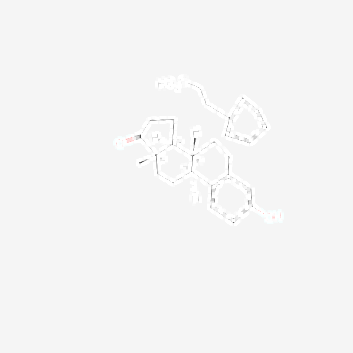 C[C@]12CC[C@@H]3c4ccc(O)cc4CC[C@H]3[C@@H]1CCC2=O.O=C(O)CCc1ccccc1